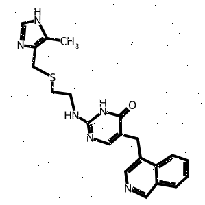 Cc1[nH]cnc1CSCCNc1ncc(Cc2cncc3ccccc23)c(=O)[nH]1